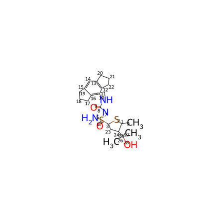 CC1SC(S(N)(=O)=NC(=O)Nc2c3c(cc4c2CCC4)CCC3)CC1C(C)(C)O